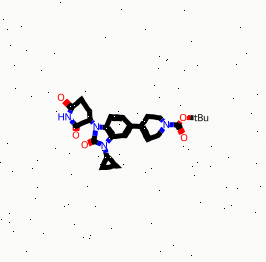 CC(C)(C)OC(=O)N1CC=C(c2ccc3c(c2)n(C2CC2)c(=O)n3C2CCC(=O)NC2=O)CC1